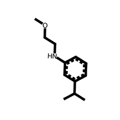 COCCNc1cccc(C(C)C)c1